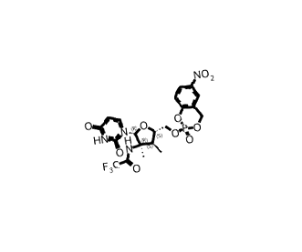 C[C@@H]1[C@@H](COP2(=O)OCc3cc([N+](=O)[O-])ccc3O2)O[C@@H](n2ccc(=O)[nH]c2=O)[C@]1(C)NC(=O)C(F)(F)F